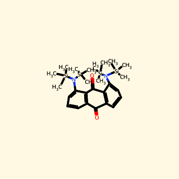 C[Si](C)(C)N(c1cccc2c1C(=O)c1c(cccc1N([Si](C)(C)C)[Si](C)(C)C)C2=O)[Si](C)(C)C